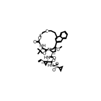 C=C[C@@H]1C[C@]1(NC(=O)[C@@H]1C[C@]2(OC)CN1C(=O)[C@H](C(C)(C)C)NC(=O)OCCCCCc1cc2cc2ccccc12)C(=O)NS(=O)(=O)C1CC1